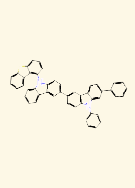 c1ccc(-c2ccc3c4cc(-c5ccc6c(c5)c5ccccc5n6-c5cccc6sc7ccccc7c56)ccc4n(-c4ccccc4)c3c2)cc1